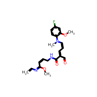 C=C/N=C(\C=C/CNC(=O)/C(C=O)=C/C=C\N(C)c1ccc(F)cc1OC)OC